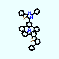 c1ccc(-c2nc(-c3cc(-c4ccccc4)c(-n4c5ccccc5c5c6sc7c(-c8ccccc8)cccc7c6ccc54)c(-c4ccccc4)c3)c3sc4ccccc4c3n2)cc1